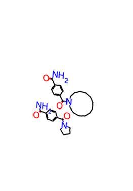 NC(=O)c1ccc(C(=O)N2CCCC2)cc1.NC(=O)c1ccc(C(=O)N2CCCCCCCCCCCC2)cc1